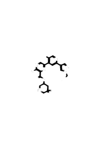 Nc1ncc(-c2cc(-c3cnn(CC(F)(F)F)c3)ncc2F)nc1C(=O)NC1CNCC(F)(F)C1